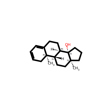 C[C@@]12CCC[C@]1(O)[C@@H]1CCC3=CC=CC[C@]3(C)[C@H]1CC2